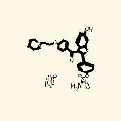 NS(=O)(=O)Oc1ccc(-c2sc3cc(O)ccc3c2C(=O)c2ccc(OCCN3CCCCC3)cc2)cc1.O.O.O